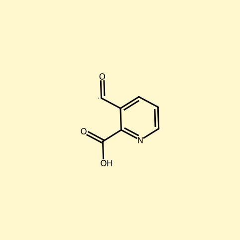 O=[C]c1cccnc1C(=O)O